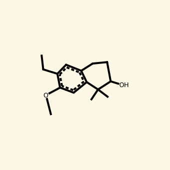 CCc1cc2c(cc1OC)C(C)(C)C(O)CC2